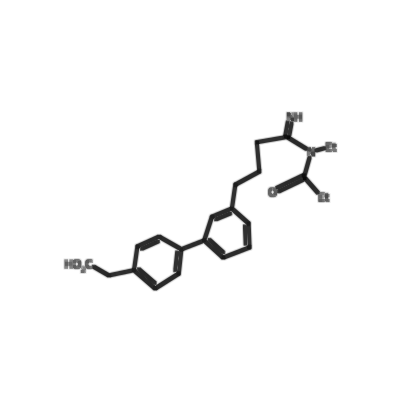 CCC(=O)N(CC)C(=N)CCCc1cccc(-c2ccc(CC(=O)O)cc2)c1